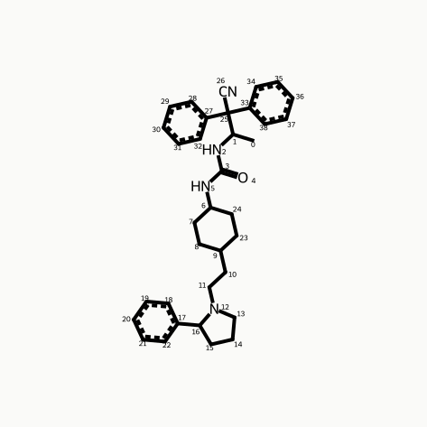 CC(NC(=O)NC1CCC(CCN2CCCC2c2ccccc2)CC1)C(C#N)(c1ccccc1)c1ccccc1